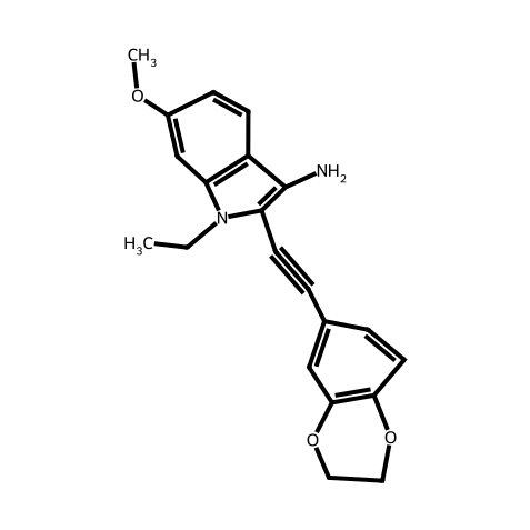 CCn1c(C#Cc2ccc3c(c2)OCCO3)c(N)c2ccc(OC)cc21